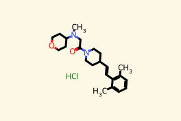 Cc1cccc(C)c1C=CC1CCN(C(=O)CN(C)C2CCOCC2)CC1.Cl